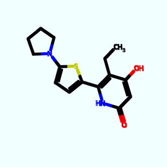 CCc1c(O)cc(=O)[nH]c1-c1ccc(N2CCCC2)s1